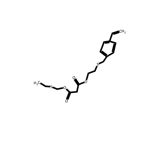 C=Cc1ccc(CSCCOC(=O)CC(=O)OCSCC)cc1